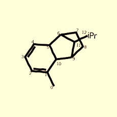 CC1=CC=CC2C3CCC(C12)C3C(C)C